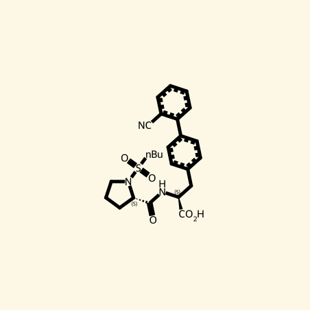 CCCCS(=O)(=O)N1CCC[C@H]1C(=O)N[C@@H](Cc1ccc(-c2ccccc2C#N)cc1)C(=O)O